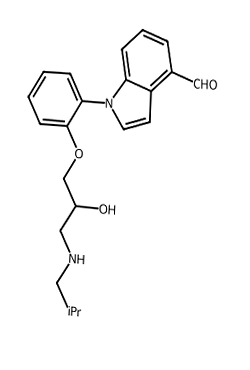 CC(C)CNCC(O)COc1ccccc1-n1ccc2c(C=O)cccc21